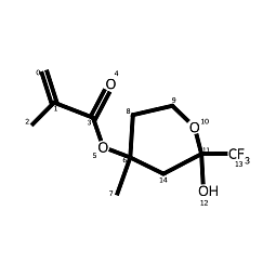 C=C(C)C(=O)OC1(C)CCOC(O)(C(F)(F)F)C1